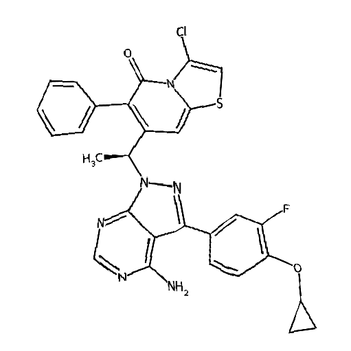 C[C@@H](c1cc2scc(Cl)n2c(=O)c1-c1ccccc1)n1nc(-c2ccc(OC3CC3)c(F)c2)c2c(N)ncnc21